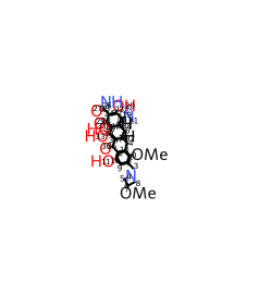 COc1c(CN2CC(OC)C2)cc(O)c2c1C[C@H]1C[C@H]3[C@H](N(C)C)C(O)=C(C(N)=O)C(=O)[C@@]3(O)C(O)=C1C2=O